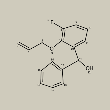 C=CCOc1c(F)cccc1C(O)c1ccccc1